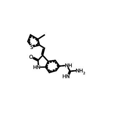 Cc1ccsc1C=C1C(=O)Nc2ccc(NC(=N)N)cc21